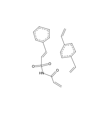 C=CC(=O)NS(=O)(=O)C=Cc1ccccc1.C=Cc1ccc(C=C)cc1